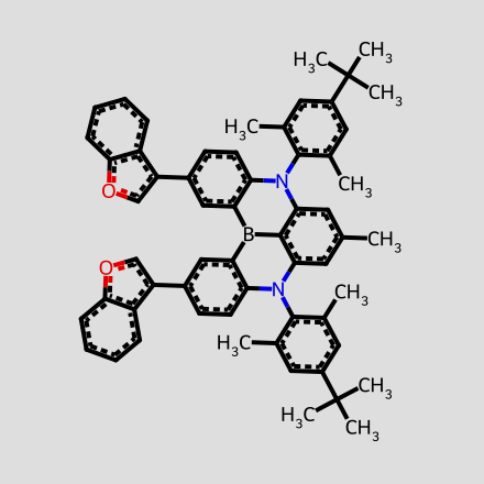 Cc1cc2c3c(c1)N(c1c(C)cc(C(C)(C)C)cc1C)c1ccc(-c4coc5ccccc45)cc1B3c1cc(-c3coc4ccccc34)ccc1N2c1c(C)cc(C(C)(C)C)cc1C